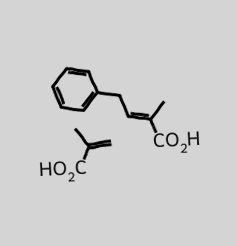 C=C(C)C(=O)O.CC(=CCc1ccccc1)C(=O)O